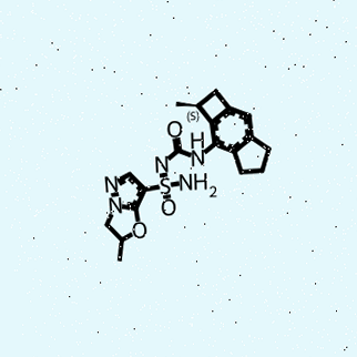 CC1Cn2ncc(S(N)(=O)=NC(=O)Nc3c4c(cc5c3[C@@H](C)C5)CCC4)c2O1